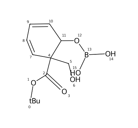 CC(C)(C)OC(=O)C1(CO)C=CC=CC1OB(O)O